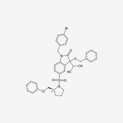 N#CC(C#N)C1(SCc2ccccc2)C(=O)N(Cc2ccc(Br)cc2)c2ccc(S(=O)(=O)N3CCC[C@H]3COc3ccccc3)cc21